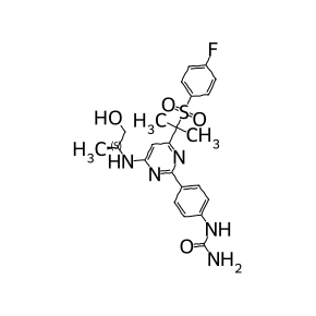 C[C@@H](CO)Nc1cc(C(C)(C)S(=O)(=O)c2ccc(F)cc2)nc(-c2ccc(NC(N)=O)cc2)n1